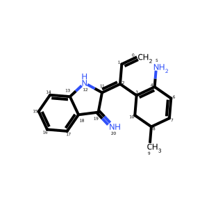 C=C/C(C1=C(N)C=CC(C)C1)=C1\Nc2ccccc2C1=N